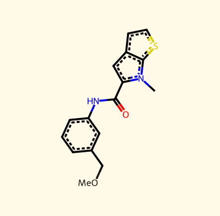 COCc1cccc(NC(=O)c2cc3ccsc3n2C)c1